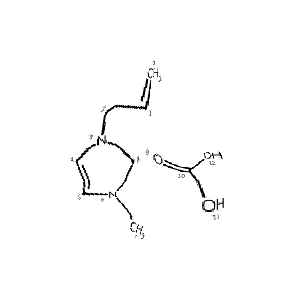 C=CCN1C=CN(C)C1.O=C(O)O